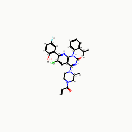 C=CC(=O)N1CCN(c2nc(=O)n(-c3ccccc3C(C)C)c3nc(-c4cc(F)ccc4O)c(Cl)cc23)[C@@H](C)C1